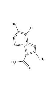 CC(=O)n1c(C)cc2c(Cl)c(O)ccc21